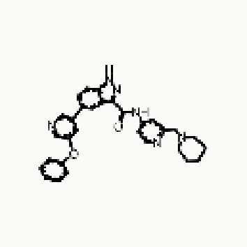 O=C(Nc1ccnc(CN2CCCCC2)c1)c1n[nH]c2ccc(-c3cncc(Oc4ccccc4)c3)cc12